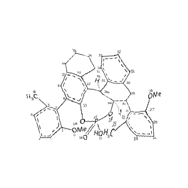 COc1cccc(C)c1-c1cc2c(c3c1OP(=O)(O)O[C@@H]1C(c4c(C)cccc4OC)Cc4ccccc4[C@H]31)CCCC2